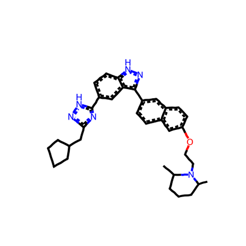 CC1CCCC(C)N1CCOc1ccc2cc(-c3n[nH]c4ccc(-c5nc(CC6CCCC6)n[nH]5)cc34)ccc2c1